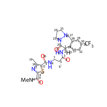 [2H][C@@]1(NC(=O)[C@H](C)CNC(=O)c2sc(C(=O)NC)nc2C)C(=O)N2CCCN2Cc2cc(C(F)(F)F)ccc21